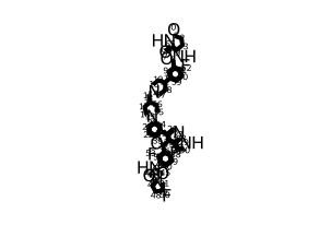 O=C1CC[C@H](NC(=O)c2cc(C3CCN(CC4CCN(c5cccc(-c6cnc7[nH]ccc7c6C(=O)c6c(F)ccc(NS(=O)(=O)N7CC[C@@H](F)C7)c6F)c5)CC4)CC3)ccc2F)C(=O)N1